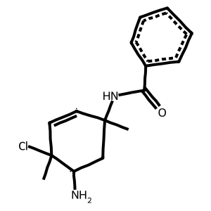 CC1(NC(=O)c2ccccc2)[C]=CC(C)(Cl)[C](N)C1